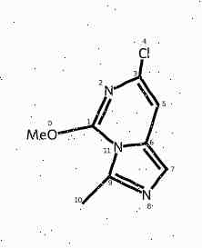 COc1nc(Cl)cc2cnc(C)n12